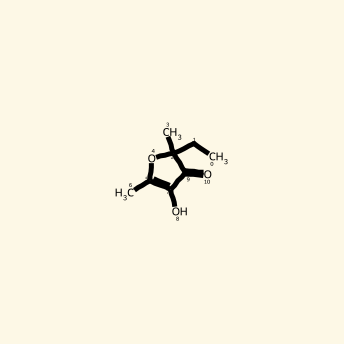 CCC1(C)OC(C)=C(O)C1=O